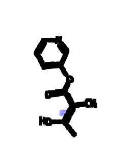 C/C(O)=C(\C#N)C(=O)Oc1cccnc1